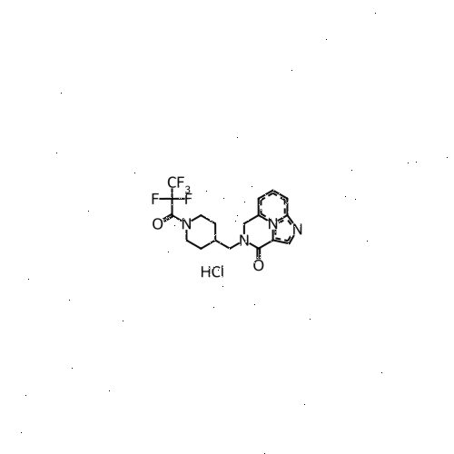 Cl.O=C1c2cnc3cccc(n23)CN1CC1CCN(C(=O)C(F)(F)C(F)(F)F)CC1